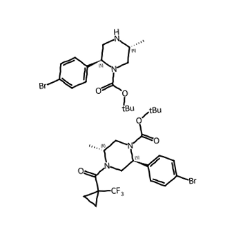 C[C@@H]1CN(C(=O)OC(C)(C)C)[C@@H](c2ccc(Br)cc2)CN1.C[C@@H]1CN(C(=O)OC(C)(C)C)[C@@H](c2ccc(Br)cc2)CN1C(=O)C1(C(F)(F)F)CC1